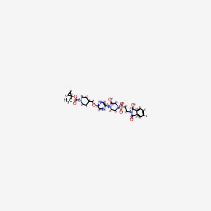 CC1(OC(=O)N2CCC(COc3cnc(N4CCN(S(=O)(=O)CCN5C(=O)c6ccccc6C5=O)CC4=O)cn3)CC2)CC1